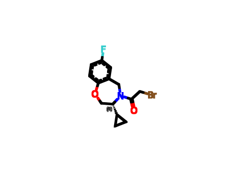 O=C(CBr)N1Cc2cc(F)ccc2OC[C@H]1C1CC1